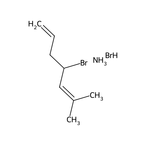 Br.C=CCC(Br)C=C(C)C.N